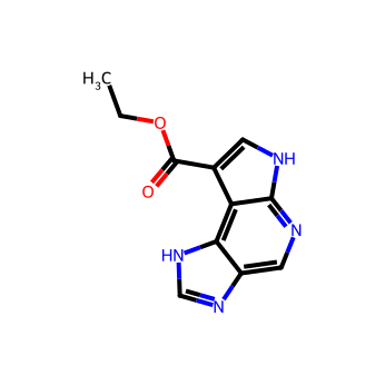 CCOC(=O)c1c[nH]c2ncc3nc[nH]c3c12